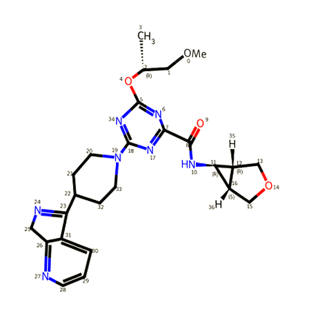 COC[C@@H](C)Oc1nc(C(=O)N[C@H]2[C@@H]3COC[C@@H]32)nc(N2CCC(C3=NCc4ncccc43)CC2)n1